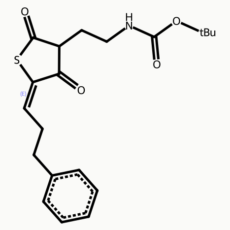 CC(C)(C)OC(=O)NCCC1C(=O)S/C(=C/CCc2ccccc2)C1=O